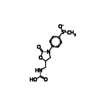 C[S+]([O-])c1ccc(N2CC(CNC(=O)O)OC2=O)cc1